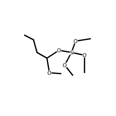 CCCC(OC)O[Si](OC)(OC)OC